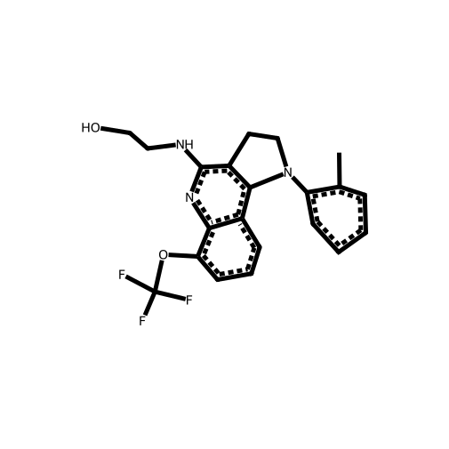 Cc1ccccc1N1CCc2c(NCCO)nc3c(OC(F)(F)F)cccc3c21